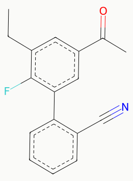 CCc1cc(C(C)=O)cc(-c2ccccc2C#N)c1F